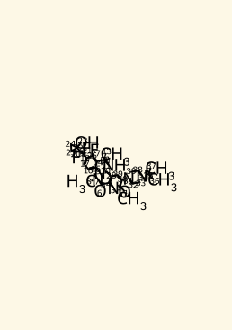 COc1nc2c(=O)n(C)nc(N[C@H](C)c3cccc(C(F)(F)C4(O)CC4)c3F)c2cc1N1CCN(C(C)C)CC1